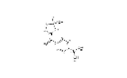 CC1(O)CCN(C(=O)c2ccc(B(O)O)cc2)C1